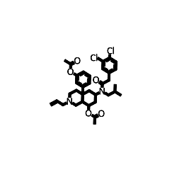 C=CCN1CCC2(c3cccc(OC(C)=O)c3)CC(N(CC(C)C)C(=O)Cc3ccc(Cl)c(Cl)c3)CC(OC(C)=O)C2C1